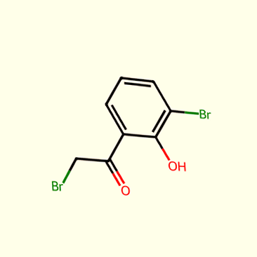 O=C(CBr)c1cccc(Br)c1O